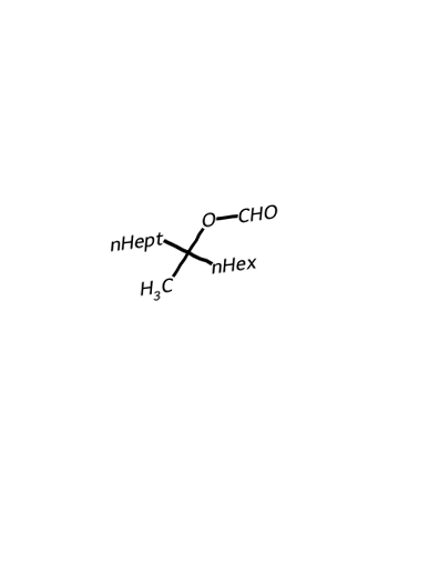 CCCCCCCC(C)(CCCCCC)OC=O